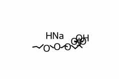 CCCCOCCOCCOCCC(C)S(=O)(=O)O.[NaH]